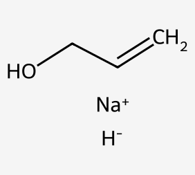 C=CCO.[H-].[Na+]